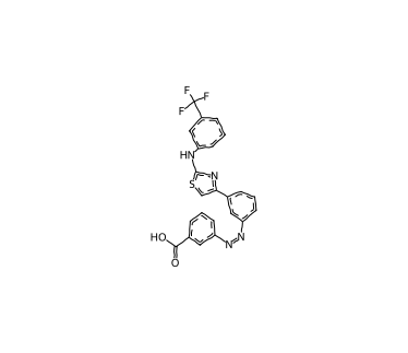 O=C(O)c1cccc(/N=N\c2cccc(-c3csc(Nc4cccc(C(F)(F)F)c4)n3)c2)c1